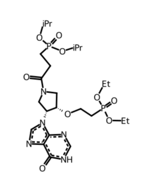 CCOP(=O)(CCO[C@H]1CN(C(=O)CCP(=O)(OC(C)C)OC(C)C)C[C@H]1n1cnc2c(=O)[nH]cnc21)OCC